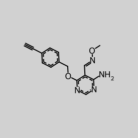 C#Cc1ccc(COc2ncnc(N)c2C=NOC)cc1